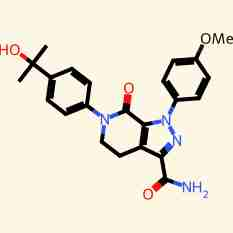 COc1ccc(-n2nc(C(N)=O)c3c2C(=O)N(c2ccc(C(C)(C)O)cc2)CC3)cc1